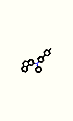 CC1=CCC(c2ccc(N(C3=CC=C4CCc5ccccc5C4C3)c3ccccc3)cc2)C=C1